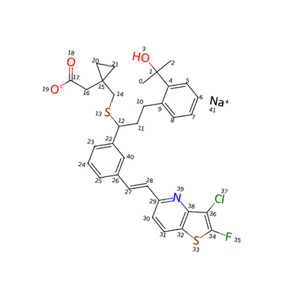 CC(C)(O)c1ccccc1CCC(SCC1(CC(=O)[O-])CC1)c1cccc(/C=C/c2ccc3sc(F)c(Cl)c3n2)c1.[Na+]